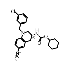 [C-]#[N+]c1ccc2c(c1)C[C@@H](NC(=O)OC1CCCCC1)CN2Cc1cccc(Cl)c1